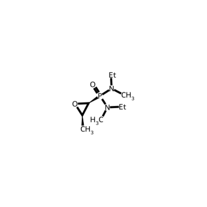 CCN(C)P(=O)([C@@H]1O[C@@H]1C)N(C)CC